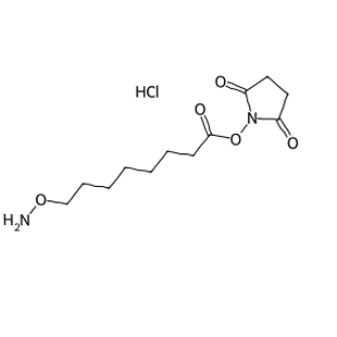 Cl.NOCCCCCCCC(=O)ON1C(=O)CCC1=O